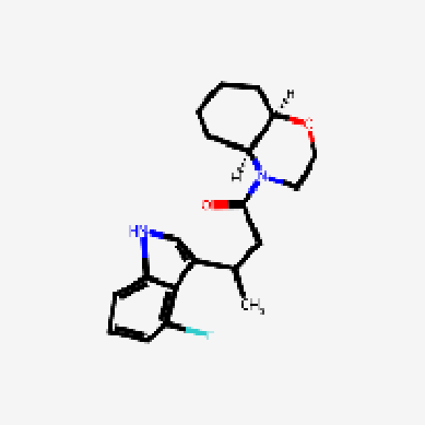 CC(CC(=O)N1CCO[C@@H]2CCCC[C@@H]21)c1c[nH]c2cccc(F)c12